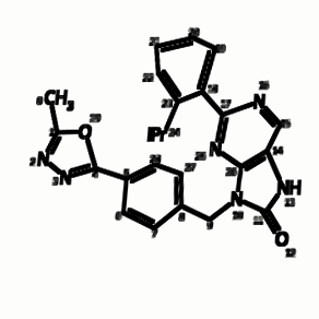 Cc1nnc(-c2ccc(Cn3c(=O)[nH]c4cnc(-c5ccccc5C(C)C)nc43)cc2)o1